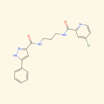 O=C(NCCCNC(=O)c1cc(-c2ccccc2)[nH]n1)c1cc(Cl)ccn1